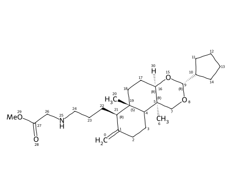 C=C1CCC2[C@]3(C)CO[C@@H](C4CCCC4)O[C@@H]3CC[C@@]2(C)[C@@H]1CCCNCC(=O)OC